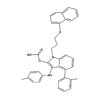 Cc1ccc(Nc2c(OC(=O)O)n(CCCOc3cccc4ccccc34)c3cccc(-c4ccccc4C)c23)cc1